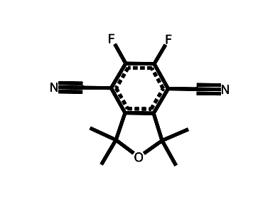 CC1(C)OC(C)(C)c2c(C#N)c(F)c(F)c(C#N)c21